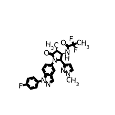 C[C@@H]1C(=O)N(c2ccc3c(cnn3-c3ccc(F)cc3)c2)C(c2ccn(C)n2)[C@H]1NC(=O)C(C)(F)F